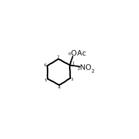 CC(=O)OC1([N+](=O)[O-])CCCCC1